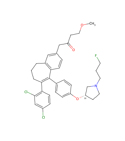 COCCC(=O)Cc1ccc2c(c1)CCCC(c1ccc(Cl)cc1Cl)=C2c1ccc(O[C@H]2CCN(CCCF)C2)cc1